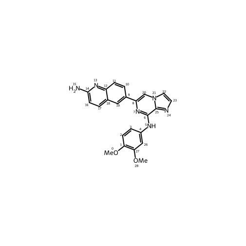 COc1ccc(Nc2nc(-c3ccc4nc(N)ccc4c3)cn3ccnc23)cc1OC